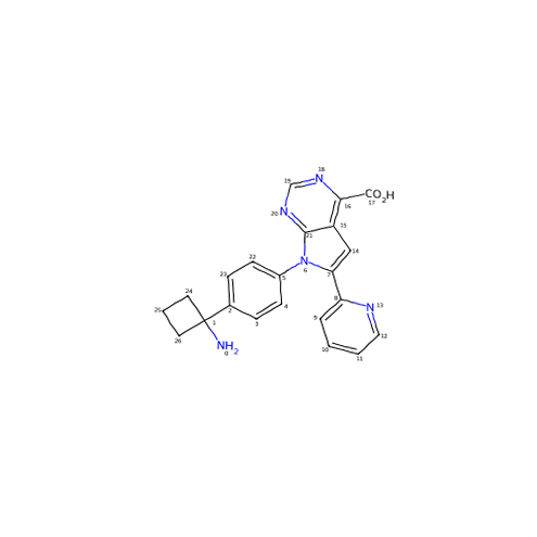 NC1(c2ccc(-n3c(-c4ccccn4)cc4c(C(=O)O)ncnc43)cc2)CCC1